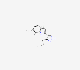 COc1ccc2c(Cl)cc(-c3c[nH]nc3CCC(C)C)nc2c1C